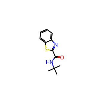 CC(C)(C)NC(=O)c1nc2ccccc2s1